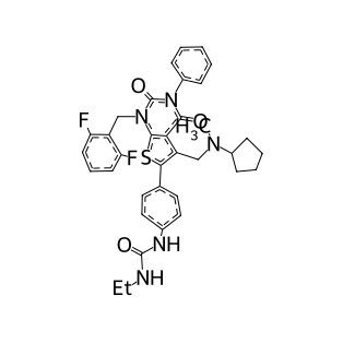 CCNC(=O)Nc1ccc(-c2sc3c(c2CN(C)C2CCCC2)c(=O)n(-c2ccccc2)c(=O)n3Cc2c(F)cccc2F)cc1